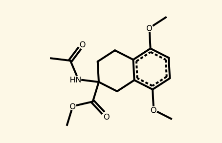 COC(=O)C1(NC(C)=O)CCc2c(OC)ccc(OC)c2C1